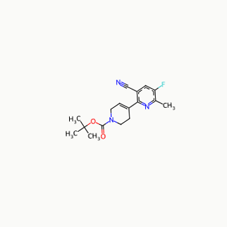 Cc1nc(C2=CCN(C(=O)OC(C)(C)C)CC2)c(C#N)cc1F